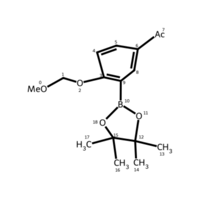 COCOc1ccc(C(C)=O)cc1B1OC(C)(C)C(C)(C)O1